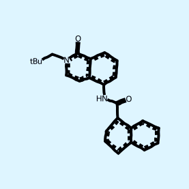 CC(C)(C)Cn1ccc2c(NC(=O)c3cccc4ccccc34)cccc2c1=O